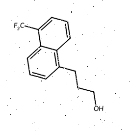 OCCCc1cccc2c(C(F)(F)F)cccc12